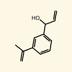 C=CC(O)c1cccc(C(=C)C)c1